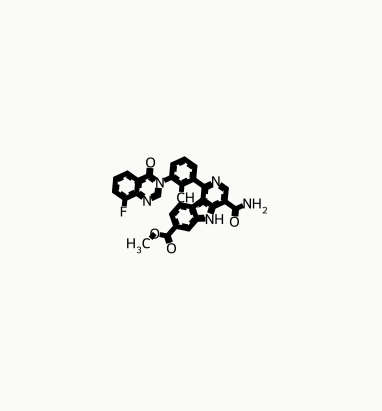 COC(=O)c1ccc2c(c1)[nH]c1c(C(N)=O)cnc(-c3cccc(-n4cnc5c(F)cccc5c4=O)c3C)c12